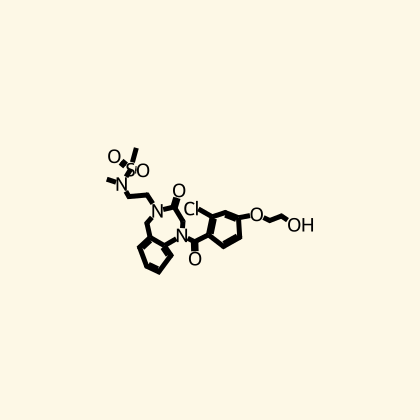 CN(CCN1Cc2ccccc2N(C(=O)c2ccc(OCCO)cc2Cl)CC1=O)S(C)(=O)=O